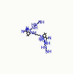 CNCCNCCNCCNC1=C(NCCCCCCNC2=C(NCCNCCNCCNC)C(=C(C#N)C#N)CC(C)(C)C2)CC(C)(C)CC1=C(C#N)C#N